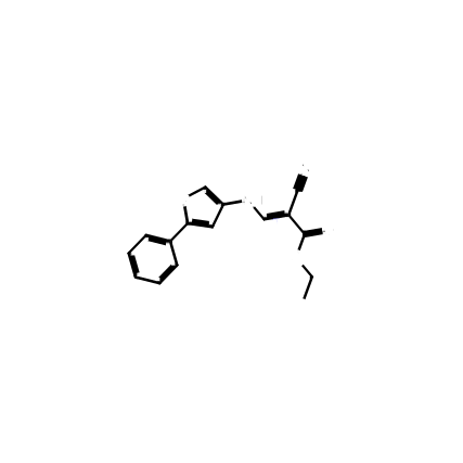 CCOC(=O)/C(C#N)=C/Nc1csc(-c2ccccc2)c1